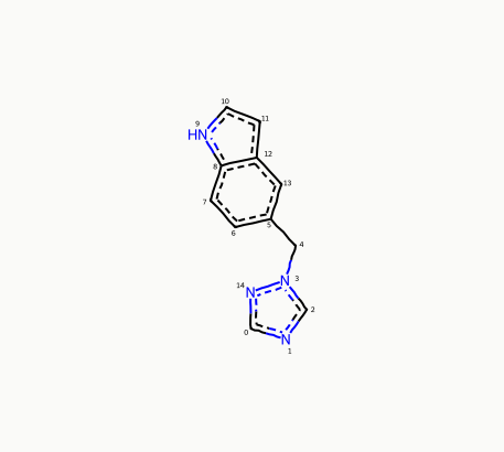 c1ncn(Cc2ccc3[nH]ccc3c2)n1